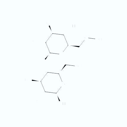 OC[C@H]1O[C@@H](O)[C@H](O)[C@@H](O)[C@@H]1O[C@@H]1O[C@H](COO)[C@@H](O)[C@H](O)[C@H]1O